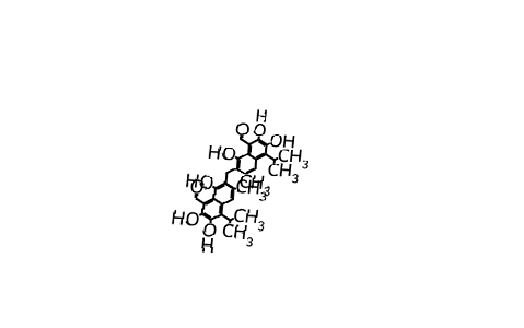 Cc1cc2c(C(C)C)c(O)c(O)c(C=O)c2c(O)c1Cc1c(C)cc2c(C(C)C)c(O)c(O)c(C=O)c2c1O